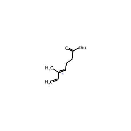 C=C/C(C)=C/CCC(=O)C(C)(C)C